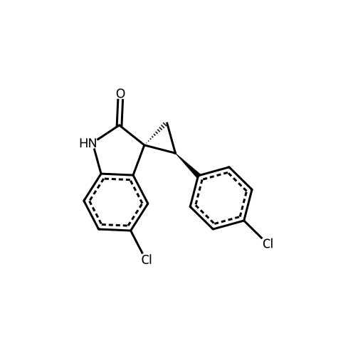 O=C1Nc2ccc(Cl)cc2[C@@]12C[C@H]2c1ccc(Cl)cc1